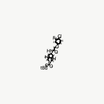 CC(C)(C)OC(=O)N1C[C@H]2C[C@H](NC(=O)COc3ccc(Cl)c(F)c3)C[C@H]2C1